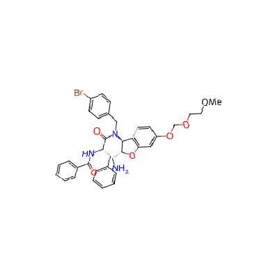 COCCOCOc1ccc2c(c1)O[C@H](CN)[C@H]2N(Cc1ccc(Br)cc1)C(=O)[C@H](Cc1ccccc1)NC(=O)c1ccccc1